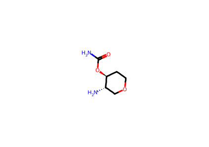 NC(=O)O[C@H]1CCOC[C@@H]1N